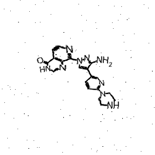 Nc1nn(-c2nccc3c(=O)[nH]cnc23)cc1-c1ccc(N2CCNCC2)nc1